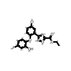 CCOC(=O)c1nc(-c2cc(Cl)ccc2Oc2ccc(F)cc2O)no1